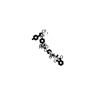 Cc1ccc(-c2cc(C(F)(F)F)nn2-c2ccc(S(=O)(=O)NC(=O)OC3CCN(/[N+]([O-])=N/OC(C)N4C(=O)c5ccccc5C4=O)C3)cc2)cc1